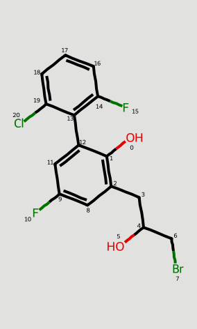 Oc1c(CC(O)CBr)cc(F)cc1-c1c(F)cccc1Cl